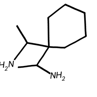 CC(N)C1(C(C)N)CCCCC1